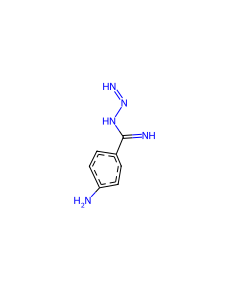 N=NNC(=N)c1ccc(N)cc1